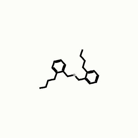 CCCCc1ccccc1COCc1ccccc1CCCC